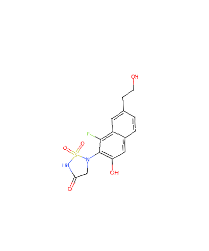 O=C1CN(c2c(O)cc3ccc(CCO)cc3c2F)S(=O)(=O)N1